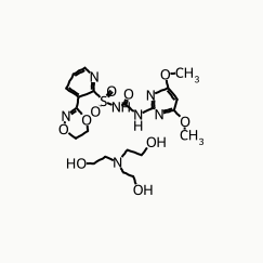 COc1cc(OC)nc(NC(=O)NS(=O)(=O)c2ncccc2C2=NOCCO2)n1.OCCN(CCO)CCO